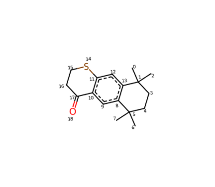 CC1(C)CCC(C)(C)c2cc3c(cc21)SCCC3=O